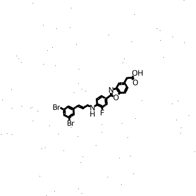 O=C(O)Cc1ccc2oc(-c3ccc(NCC=Cc4cc(Br)cc(Br)c4)c(F)c3)nc2c1